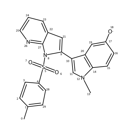 Cc1ccc(S(=O)(=O)n2c(-c3cn(C)c4ccc([O])cc34)cc3cccnc32)cc1